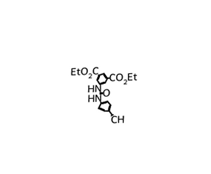 C#Cc1ccc(NC(=O)Nc2cc(C(=O)OCC)cc(C(=O)OCC)c2)cc1